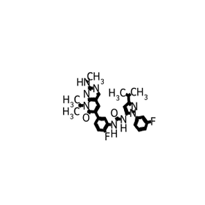 CNc1ncc2cc(-c3ccc(F)c(NC(=O)Nc4cc(C(C)C)nn4-c4cccc(F)c4)c3)c(=O)n(C(C)C)c2n1